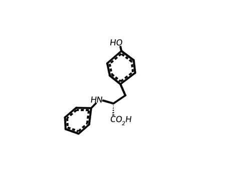 O=C(O)[C@@H](Cc1ccc(O)cc1)Nc1ccccc1